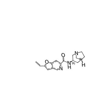 C=Cc1cc2cnc(C(=O)N[C@@H]3C[C@H]4CCN(C4)C3)cc2o1